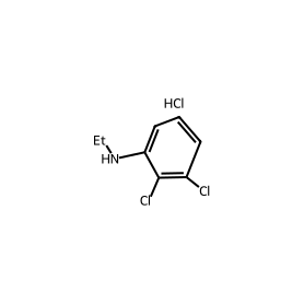 CCNc1cccc(Cl)c1Cl.Cl